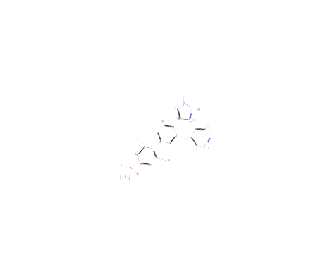 Cc1cc(S(N)(=O)=O)ccc1-c1ccc(-c2c[nH]nc2-c2ccncc2)cc1